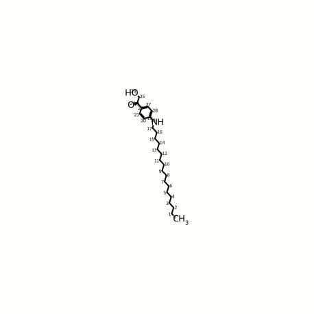 CCCCCCCCCCCCCCCCCCNc1ccc(C(=O)CO)cc1